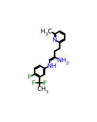 Cc1cccc(CC/C(N)=C/Nc2ccc(F)c(C(C)(F)F)c2)n1